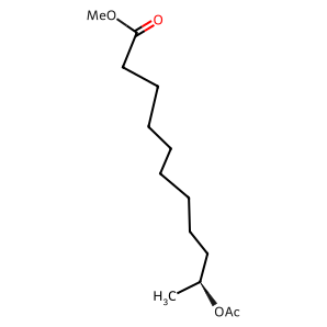 COC(=O)CCCCCCCC[C@H](C)OC(C)=O